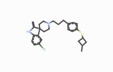 C=C1Nc2ccc(Cl)cc2C12CCN(CCCc1ccc(SC3CC(C)C3)cc1)CC2